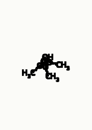 CCCCCOCc1ccc(O)c(COCCCCC)c1COCCCCC